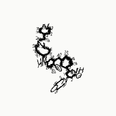 O=c1cc(N2CCOCC2)cc(-c2cccc3c2Oc2ccc(NC4CCN(CCc5ccncc5)CC4)cc2C3)[nH]1